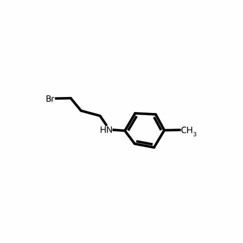 Cc1ccc(NCCCBr)cc1